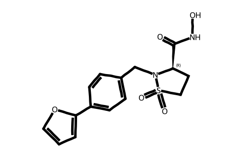 O=C(NO)[C@H]1CCS(=O)(=O)N1Cc1ccc(-c2ccco2)cc1